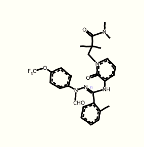 Cc1ccccc1/C(=N\N(C=O)c1ccc(OC(F)(F)F)cc1)Nc1cccn(CC(C)(C)C(=O)N(C)C)c1=O